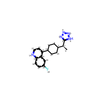 C[C@H](c1nnn[nH]1)C1CCC(c2ccnc3ccc(F)cc23)CC1